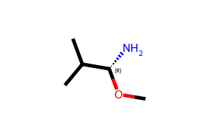 CO[C@@H](N)C(C)C